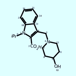 CC(C)n1c(C(=O)O)c(CN2CCC(O)CC2)c2ccccc21